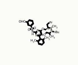 CCCCN(C(C)COC)N(C)[C@@H](COc1cc(-c2c(C)cccc2C)nc(NS(=O)(=O)c2cccc(C=O)c2)n1)CC(C)C